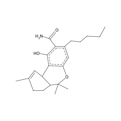 CCCCCc1cc2c(c(O)c1C(N)=O)C1C=C(C)CCC1C(C)(C)O2